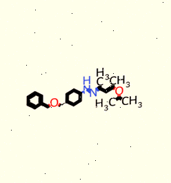 C/C(=C\C(C)=N\N[C@H]1CC[C@H](COCc2ccccc2)CC1)OC(C)C